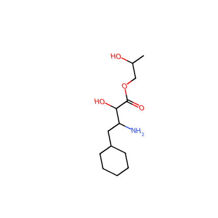 CC(O)COC(=O)C(O)C(N)CC1CCCCC1